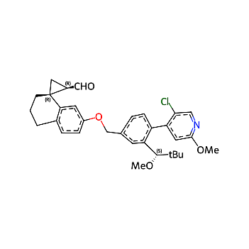 COc1cc(-c2ccc(COc3ccc4c(c3)[C@]3(CCC4)C[C@H]3C=O)cc2[C@@H](OC)C(C)(C)C)c(Cl)cn1